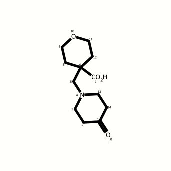 O=C1CCN(CC2(C(=O)O)CCOCC2)CC1